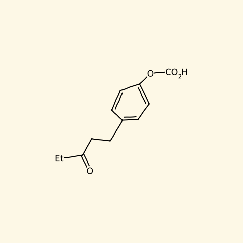 CCC(=O)CCc1ccc(OC(=O)O)cc1